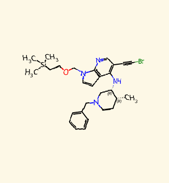 C[C@@H]1CCN(Cc2ccccc2)C[C@@H]1Nc1c(C#CBr)cnc2c1ccn2COCC[Si](C)(C)C